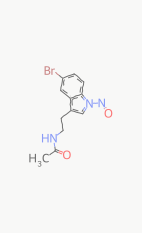 CC(=O)NCCc1cn(N=O)c2ccc(Br)cc12